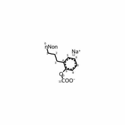 CCCCCCCCCCCCc1ccccc1OC(=O)[O-].[Na+]